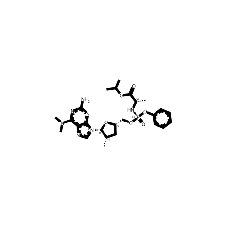 CC(C)OC(=O)[C@H](C)N[P@@](=O)(OC[C@@H]1C[C@H](C)[C@H](n2cnc3c(N(C)C)nc(N)nc32)O1)Oc1ccccc1